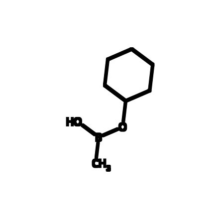 CB(O)OC1CCCCC1